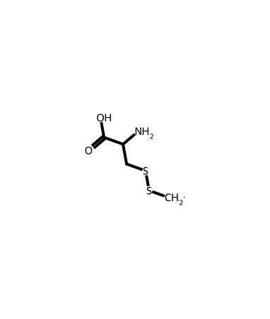 [CH2]SSCC(N)C(=O)O